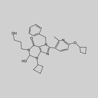 Cc1nc(OC2CCC2)ccc1-c1nc2c(n1Cc1ccccc1)C(=O)N(CCCO)C(O)N2C1CCC1